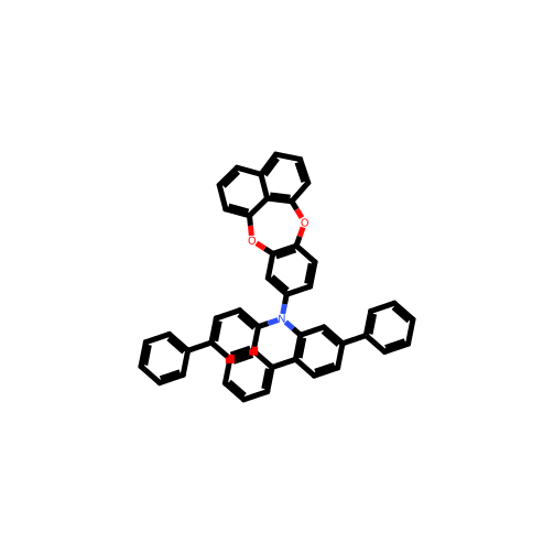 c1ccc(-c2ccc(N(c3ccc4c(c3)Oc3cccc5cccc(c35)O4)c3cc(-c4ccccc4)ccc3-c3ccccc3)cc2)cc1